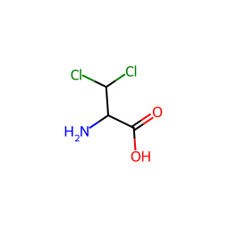 NC(C(=O)O)C(Cl)Cl